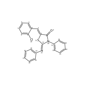 O=C1C(=Cc2ccccc2Cl)SC(=Nc2ccccc2)N1c1ccccc1